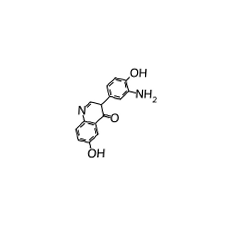 Nc1cc(C2C=Nc3ccc(O)cc3C2=O)ccc1O